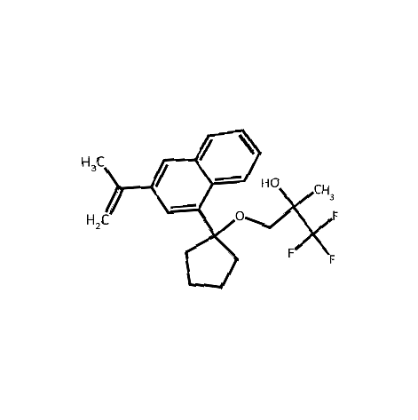 C=C(C)c1cc(C2(OCC(C)(O)C(F)(F)F)CCCC2)c2ccccc2c1